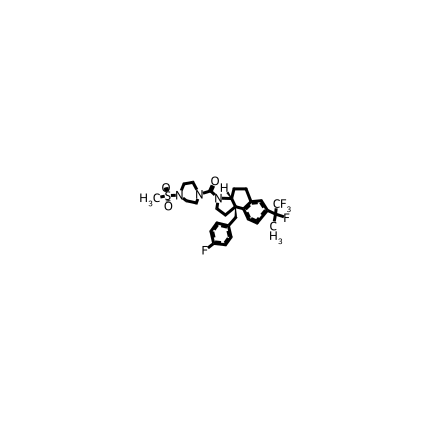 CC(F)(c1ccc2c(c1)CC[C@H]1N(C(=O)N3CCN(S(C)(=O)=O)CC3)CC[C@@]21Cc1ccc(F)cc1)C(F)(F)F